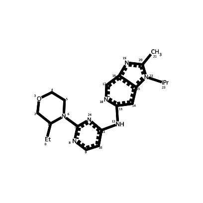 CCC1COCCN1c1nccc(Nc2cc3c(cn2)nc(C)n3C(C)C)n1